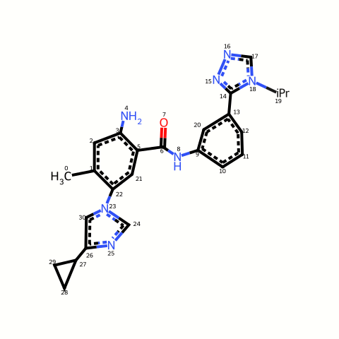 Cc1cc(N)c(C(=O)Nc2cccc(-c3nncn3C(C)C)c2)cc1-n1cnc(C2CC2)c1